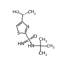 CC(O)c1csc(S(=N)(=O)NC(C)(C)C)n1